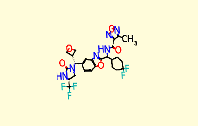 Cc1nonc1C(=O)N[C@H](c1nc2cc([C@@H](C3COC3)N3C[C@@H](C(F)(F)F)NC3=O)ccc2o1)C1CCC(F)(F)CC1